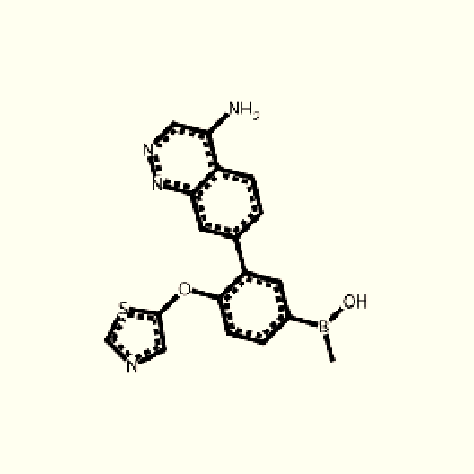 CB(O)c1ccc(Oc2cncs2)c(-c2ccc3c(N)cnnc3c2)c1